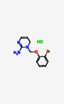 Cl.NC1=NC=CCN1COc1ccccc1Br